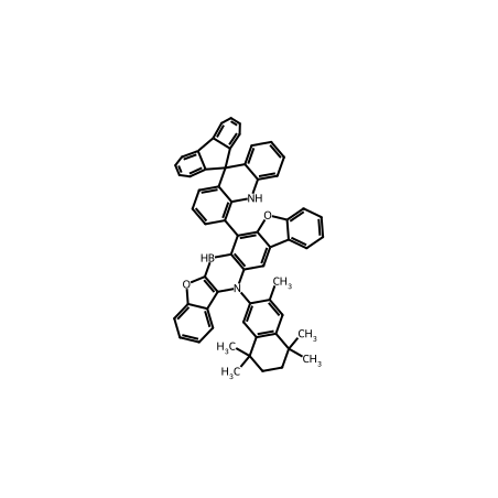 Cc1cc2c(cc1N1c3cc4c(oc5ccccc54)c(-c4cccc5c4Nc4ccccc4C54c5ccccc5-c5ccccc54)c3Bc3oc4ccccc4c31)C(C)(C)CCC2(C)C